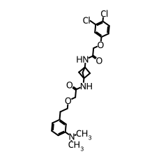 CN(C)c1cccc(CCOCC(=O)NC23CC(NC(=O)COc4ccc(Cl)c(Cl)c4)(C2)C3)c1